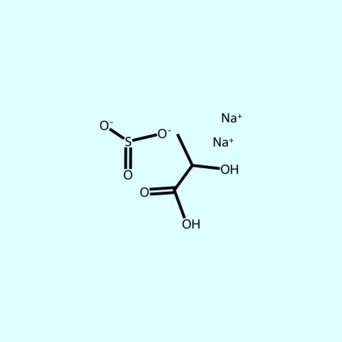 CC(O)C(=O)O.O=S([O-])[O-].[Na+].[Na+]